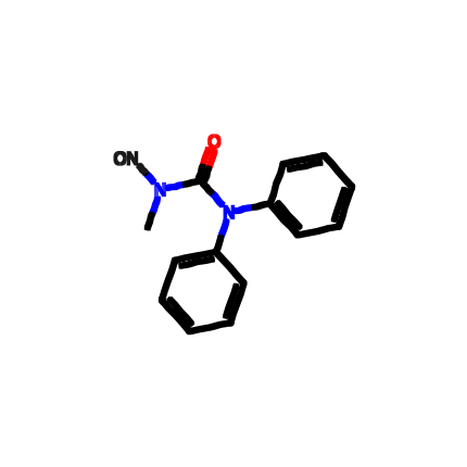 CN(N=O)C(=O)N(c1ccccc1)c1ccccc1